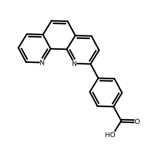 O=C(O)c1ccc(-c2ccc3ccc4cccnc4c3n2)cc1